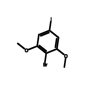 COc1cc(I)cc(OC)c1Br